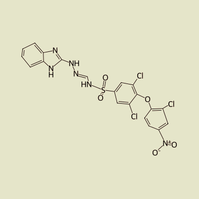 O=[N+]([O-])c1ccc(Oc2c(Cl)cc(S(=O)(=O)NC=NNc3nc4ccccc4[nH]3)cc2Cl)c(Cl)c1